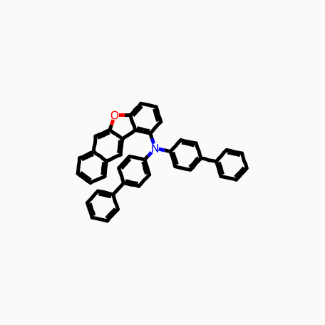 c1ccc(-c2ccc(N(c3ccc(-c4ccccc4)cc3)c3cccc4oc5cc6ccccc6cc5c34)cc2)cc1